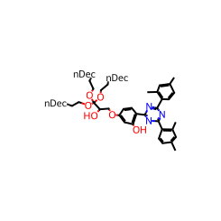 CCCCCCCCCCCCOC(OCCCCCCCCCCCC)(OCCCCCCCCCCCC)C(O)COc1ccc(-c2nc(-c3ccc(C)cc3C)nc(-c3ccc(C)cc3C)n2)c(O)c1